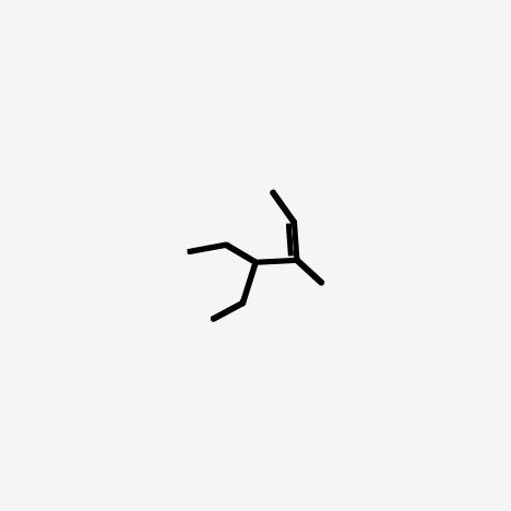 CC=C(C)C(CC)CC